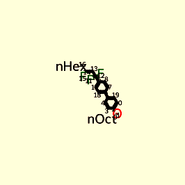 CCCCCCCCOc1ccc(-c2ccc(C(F)(F)C[C@@H](F)CCCCCC)cc2)cc1